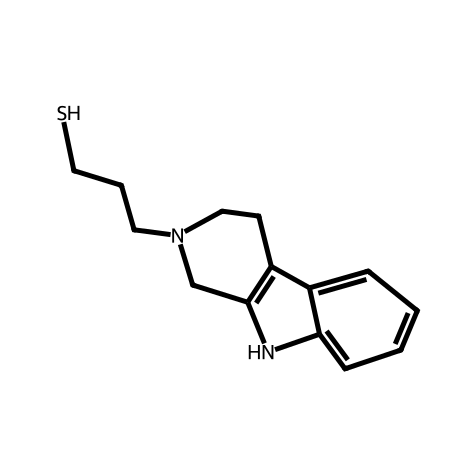 SCCCN1CCc2c([nH]c3ccccc23)C1